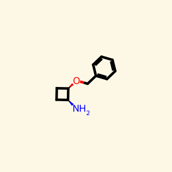 N[C@H]1CC[C@H]1OCc1ccccc1